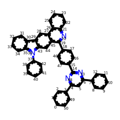 c1ccc(-c2cc(-c3ccccc3)nc(-c3ccc(-c4nc5ccccc5c5cc6c7ccccc7n(-c7ccccc7)c6cc45)cc3)n2)cc1